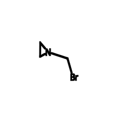 BrCN1CC1